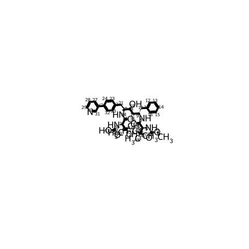 COC(=O)N[C@H](C(=O)N[C@@H](Cc1ccccc1)C[C@H](O)[C@H](Cc1ccc(-c2cccnc2)cc1)NC(=O)[C@@H](NC(=O)O)C(C)(C)C)C(C)(C)C